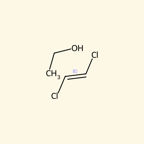 CCO.Cl/C=C/Cl